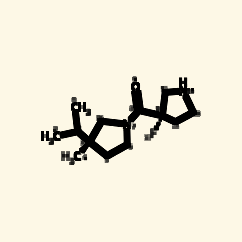 CC(C)[C@@]1(C)CCN(C(=O)[C@]2(F)CCNC2)C1